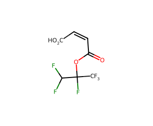 O=C(O)/C=C\C(=O)OC(F)(C(F)F)C(F)(F)F